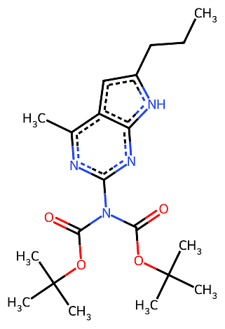 CCCc1cc2c(C)nc(N(C(=O)OC(C)(C)C)C(=O)OC(C)(C)C)nc2[nH]1